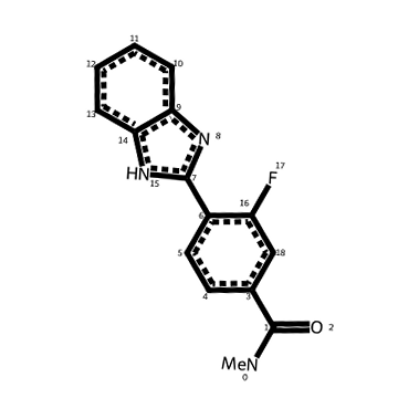 CNC(=O)c1ccc(-c2nc3ccccc3[nH]2)c(F)c1